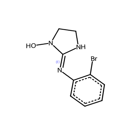 ON1CCN/C1=N\c1ccccc1Br